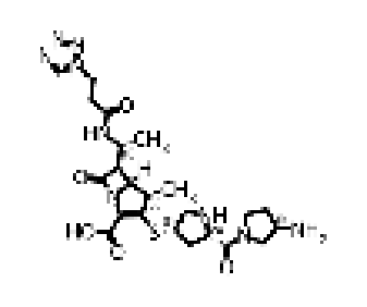 C[C@@H](NC(=O)CCn1cnnn1)C1C(=O)N2C(C(=O)O)=C(S[C@@H]3CN[C@H](C(=O)N4CC[C@@H](N)C4)C3)[C@H](C)[C@H]12